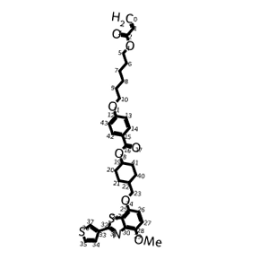 C=CC(=O)OCCCCCCOc1ccc(C(=O)OC2CCC(COc3ccc(OC)c4nc(-c5ccsc5)sc34)CC2)cc1